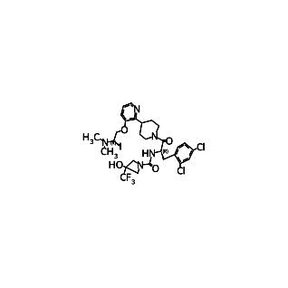 CN(C)[C@H](I)COc1cccnc1C1CCN(C(=O)[C@@H](Cc2ccc(Cl)cc2Cl)NC(=O)N2CC(O)(C(F)(F)F)C2)CC1